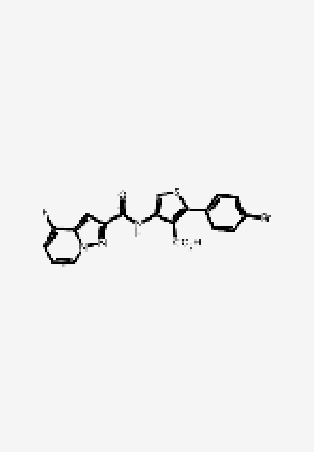 O=C(Nc1csc(-c2ccc(Br)cc2)c1C(=O)O)c1cc2c(F)cccn2n1